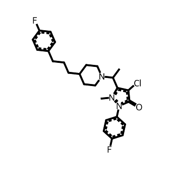 CC(c1c(Cl)c(=O)n(-c2ccc(F)cc2)n1C)N1CCC(CCCc2ccc(F)cc2)CC1